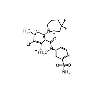 Cc1nc(N2CCCC(F)(F)CC2)c(C(=O)N(C)c2ccnc(S(N)(=O)=O)c2)c(C)c1Cl